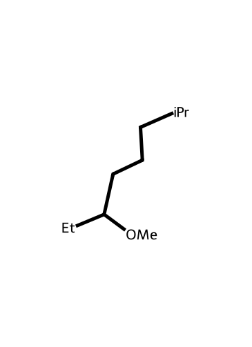 CCC(CCCC(C)C)OC